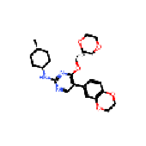 C[C@H]1CC[C@@H](Nc2ncc(-c3ccc4c(c3)OCCO4)c(OC[C@H]3COCCO3)n2)CC1